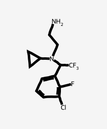 NCCN(C1CC1)C(c1cccc(Cl)c1F)C(F)(F)F